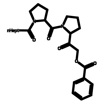 CCCCCCCC(=O)N1CCCC1C(=O)N1CCCC1C(=O)COC(=O)c1ccccc1